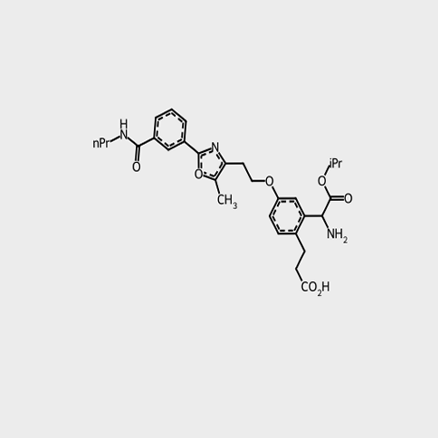 CCCNC(=O)c1cccc(-c2nc(CCOc3ccc(CCC(=O)O)c(C(N)C(=O)OC(C)C)c3)c(C)o2)c1